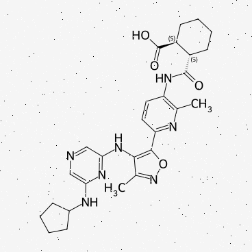 Cc1nc(-c2onc(C)c2Nc2cncc(NC3CCCC3)n2)ccc1NC(=O)[C@H]1CCCC[C@@H]1C(=O)O